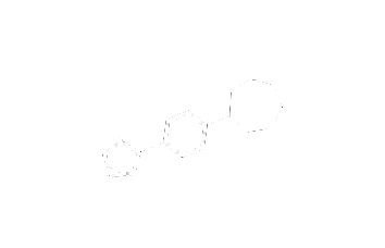 Cl.c1noc(-c2ccc(C3CNCCOC3)cc2)n1